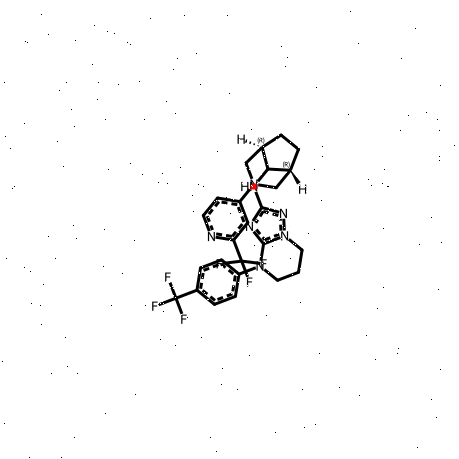 FC(F)(F)c1ccc(N2CCCn3nc(NC4[C@@H]5CC[C@@H]4CN(c4ccnc(C(F)(F)F)c4)C5)nc32)cc1